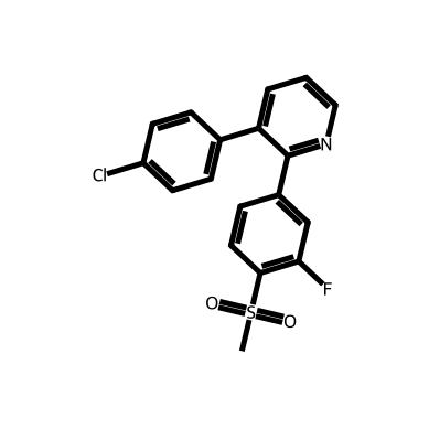 CS(=O)(=O)c1ccc(-c2ncccc2-c2ccc(Cl)cc2)cc1F